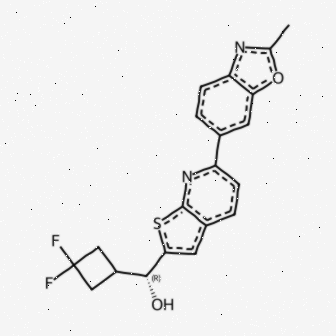 Cc1nc2ccc(-c3ccc4cc([C@H](O)C5CC(F)(F)C5)sc4n3)cc2o1